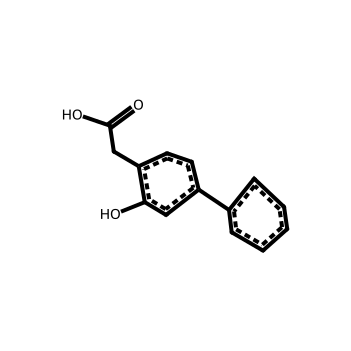 O=C(O)Cc1ccc(-c2ccccc2)cc1O